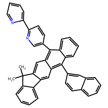 CC1(C)c2ccccc2-c2cc3c(-c4ccc5ccccc5c4)c4ccccc4c(-c4ccc(-c5ccccn5)nc4)c3cc21